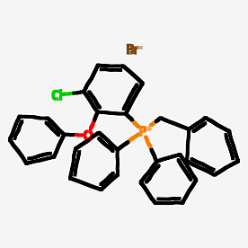 Clc1cccc([P+](Cc2ccccc2)(c2ccccc2)c2ccccc2)c1Oc1ccccc1.[Br-]